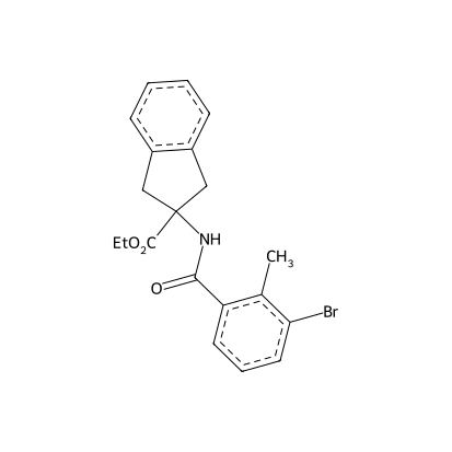 CCOC(=O)C1(NC(=O)c2cccc(Br)c2C)Cc2ccccc2C1